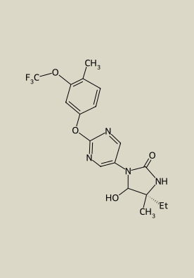 CC[C@@]1(C)NC(=O)N(c2cnc(Oc3ccc(C)c(OC(F)(F)F)c3)nc2)C1O